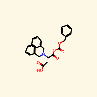 O=C(O)C[C@@H](C(=O)OC(=O)OCc1ccccc1)N(Cc1ccccc1)Cc1ccccc1